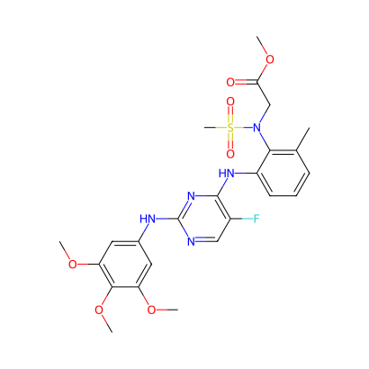 COC(=O)CN(c1c(C)cccc1Nc1nc(Nc2cc(OC)c(OC)c(OC)c2)ncc1F)S(C)(=O)=O